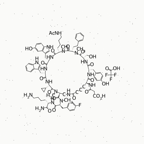 CC(=O)NCCCC[C@H]1C(=O)N[C@@H](Cc2c[nH]c3ccc(O)cc23)C(=O)N[C@@H](Cc2c[nH]c3ccccc23)C(=O)N[C@@H](C2CC2)C(=O)N(C)[C@H](C(=O)N(C)[C@@H](Cc2ccc(F)cc2)C(=O)N[C@@H](CCCCN)C(N)=O)CNC(=O)CCC[C@H](NC(=O)CC(=O)O)C(=O)N[C@@H](Cc2ccc(O)cc2)C(=O)N[C@@H](CO)C(=O)N(C)[C@@H](CCc2ccccc2)C(=O)N1C.O=C(O)C(F)(F)F